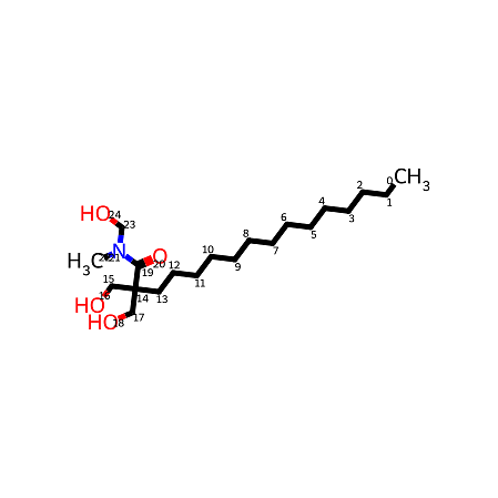 CCCCCCCCCCCCCCC(CO)(CO)C(=O)N(C)CO